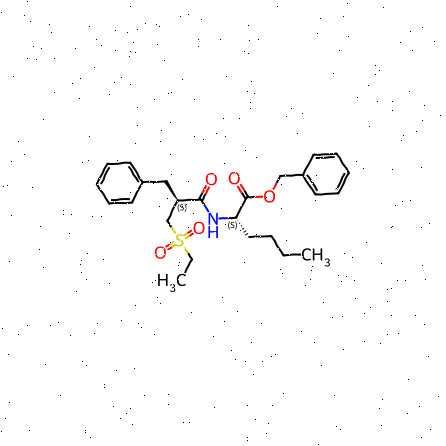 CCCC[C@H](NC(=O)[C@H](Cc1ccccc1)CS(=O)(=O)CC)C(=O)OCc1ccccc1